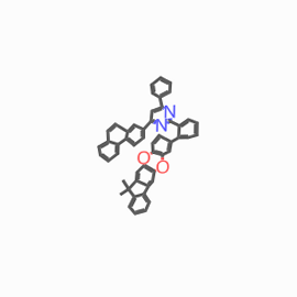 CC1(C)c2ccccc2-c2cc3c(cc21)Oc1ccc(-c2ccccc2-c2nc(-c4ccccc4)cc(-c4ccc5c(ccc6ccccc65)c4)n2)cc1O3